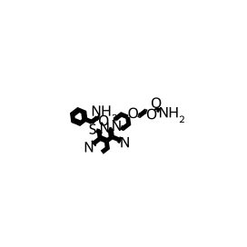 CCc1c(C#N)c(SC(C(N)=O)c2ccccc2)nc(N2CCC(OCCOC(N)=O)CC2)c1C#N